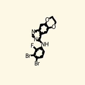 Fc1c(Nc2ncnc3cc4c(cc23)OCCO4)ccc(Br)c1Br